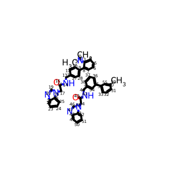 CN(C)c1ccccc1-c1ccc(CNC(=O)Cn2cnc3ccccc32)cc1.Cc1cccc(-c2cccc(CNC(=O)Cn3cnc4ccccc43)c2)c1